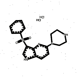 Cl.Cl.O=S(=O)(c1ccccc1)c1c[nH]c2ccc(N3CCNCC3)nc12